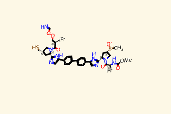 COC(=O)N[C@H](C(=O)N1C[C@@H]([S+](C)[O-])C[C@H]1c1ncc(-c2ccc(-c3ccc(-c4cnc([C@@H]5C[C@H](CS)CN5C(=O)[C@@H](COOC=N)C(C)C)[nH]4)cc3)cc2)[nH]1)C(C)C